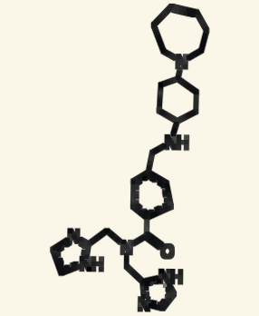 O=C(c1ccc(CNC2CCC(N3CCC=CCC3)CC2)cc1)N(Cc1ncc[nH]1)Cc1ncc[nH]1